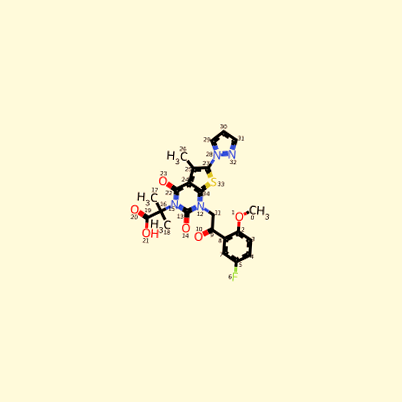 COc1ccc(F)cc1C(=O)Cn1c(=O)n(C(C)(C)C(=O)O)c(=O)c2c(C)c(-n3cccn3)sc21